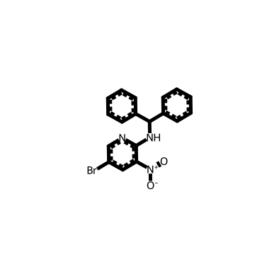 O=[N+]([O-])c1cc(Br)cnc1NC(c1ccccc1)c1ccccc1